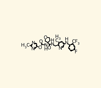 Cc1ncc(OC(=O)N[C@@]2(C(=O)NCc3ncc(Nc4ccc(F)cc4C(F)(F)F)cc3C)CCOC2)cn1